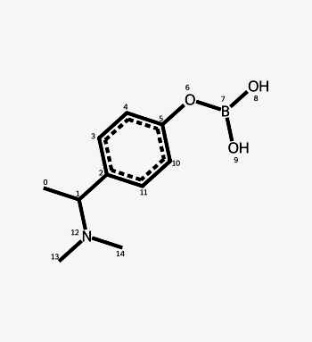 CC(c1ccc(OB(O)O)cc1)N(C)C